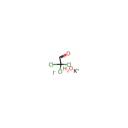 O.O=CC(Cl)(Cl)Cl.[I-].[K+]